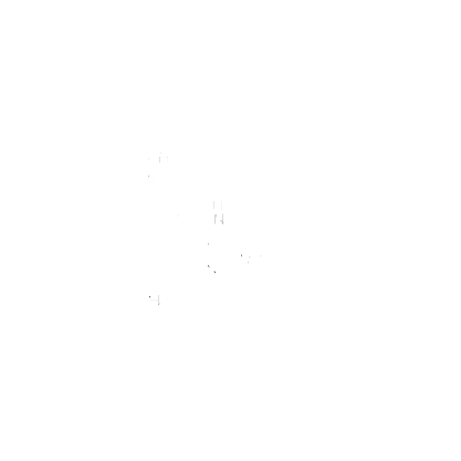 CCCNC(=O)c1ncc2c(Br)cccc2c1NCc1ccc(OC)cc1